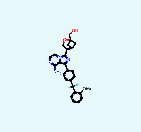 COc1ccccc1C(F)(F)c1ccc(-c2nc(C3=C4CC(CO)(C4)OC3)n3ccnc(N)c23)cc1